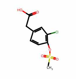 CS(=O)(=O)Oc1ccc(CC(=O)O)cc1Cl